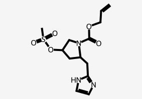 C=CCOC(=O)N1CC(OS(C)(=O)=O)CC1Cc1ncc[nH]1